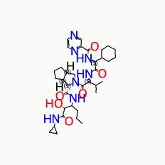 CCCC(NC(=O)[C@@H]1[C@H]2CCC[C@H]2CN1C(=O)[C@@H](NC(=O)[C@@H](NC(=O)c1cnccn1)C1CCCCC1)C(C)C)C(O)C(=O)NC1CC1